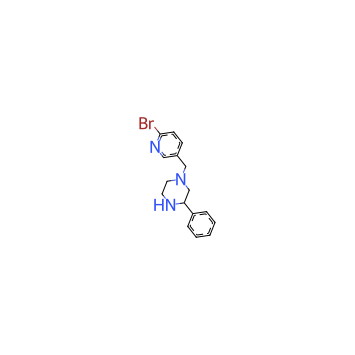 Brc1ccc(CN2CCNC(c3ccccc3)C2)cn1